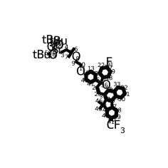 CC(C)(C)O[Si](CCC(C)(C)OCCOc1ccc(C2(c3ccc(F)cc3)C=Cc3c4c(c5ccccc5c3O2)-c2ccc(C(F)(F)F)cc2C4(C)C)cc1)(OC(C)(C)C)OC(C)(C)C